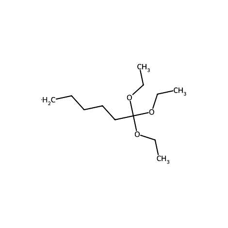 [CH2]CCCCC(OCC)(OCC)OCC